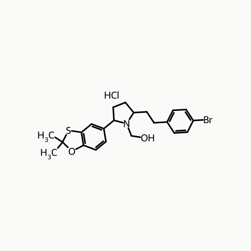 CC1(C)Oc2ccc(C3CCC(CCc4ccc(Br)cc4)N3CO)cc2S1.Cl